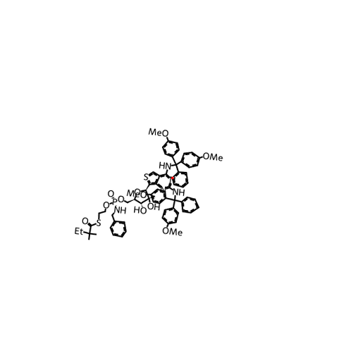 CCC(C)(C)C(=O)SCCOP(=O)(NCc1ccccc1)OC[C@H]1O[C@@H](c2scc3c(NC(c4ccccc4)(c4ccc(OC)cc4)c4ccc(OC)cc4)nc(NC(c4ccccc4)(c4ccc(OC)cc4)c4ccc(OC)cc4)nc23)[C@](C)(O)[C@@H]1O